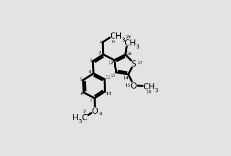 CCC(=Cc1ccc(OC)cc1)c1cc(OC)sc1C